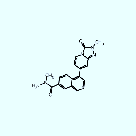 CN(C)C(=O)c1ccc2c(-c3ccn4c(=O)n(C)nc4c3)cccc2c1